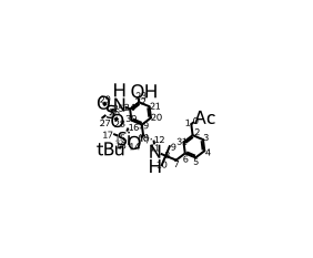 CC(=O)Cc1cccc(CC(C)(C)NC[C@H](O[Si](C)(C)C(C)(C)C)c2ccc(O)c(NS(C)(=O)=O)c2)c1